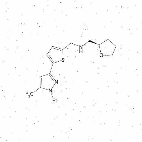 CCn1nc(-c2ccc(CNC[C@H]3CCCO3)s2)cc1C(F)(F)F